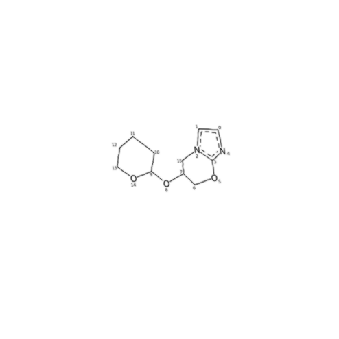 c1cn2c(n1)OCC(OC1CCCCO1)C2